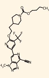 CCCCOC(=O)N1CCC(CCOc2ncc(-c3cc4c(nnn4C)c(C#N)n3)cc2C(F)(F)F)CC1